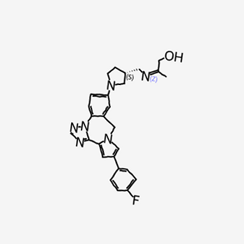 C/C(CO)=N/C[C@H]1CCN(c2ccc3c(c2)Cn2cc(-c4ccc(F)cc4)cc2-c2ncnn2-3)C1